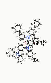 Cc1cc2c3c(c1)N(c1ccc(-c4ccccc4)cc1-c1cccc(C(C)(C)C)c1)c1cc(-c4ccccc4)ccc1B3c1ccc(N(c3ccccc3)c3ccccc3)cc1N2c1ccc(C(C)(C)C)cc1